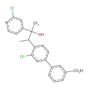 CCOC(=O)c1cccc(-c2ccc(C(C)C(O)(c3ccnc(Cl)c3)C(F)(F)F)c(Cl)c2)c1